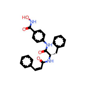 O=C(/C=C\c1ccccc1)N[C@@H](Cc1ccccc1)C(=O)Nc1ccc(C(=O)NO)cc1